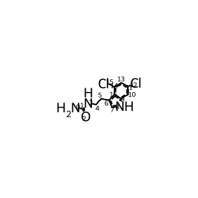 NC(=O)NCCc1c[nH]c2cc(Cl)cc(Cl)c12